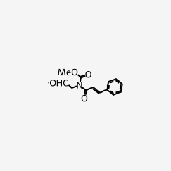 COC(=O)N(C[C]=O)C(=O)C=Cc1ccccc1